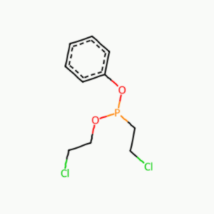 ClCCOP(CCCl)Oc1ccccc1